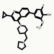 COc1cc(-c2ccc3nc(C4CC4)[c]c(N4CCC(CN5CCCC5)CC4)c3c2)cc(F)c1O